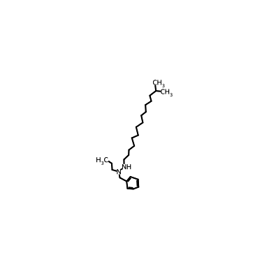 CCCN(Cc1ccccc1)NCCCCCCCCCCCCCC(C)C